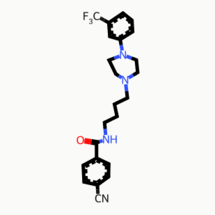 N#Cc1ccc(C(=O)NCCCCN2CCN(c3cccc(C(F)(F)F)c3)CC2)cc1